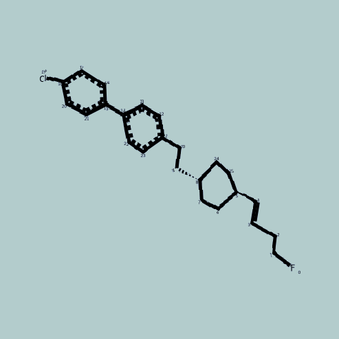 FCCC=C[C@H]1CC[C@H](CCc2ccc(-c3ccc(Cl)cc3)cc2)CC1